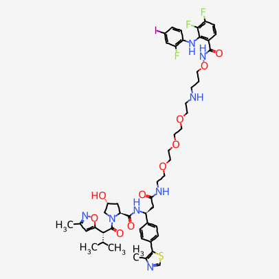 Cc1cc([C@H](C(=O)N2C[C@H](O)C[C@H]2C(=O)N[C@@H](CC(=O)NCCOCCOCCOCCNCCCONC(=O)c2ccc(F)c(F)c2Nc2ccc(I)cc2F)c2ccc(-c3scnc3C)cc2)C(C)C)on1